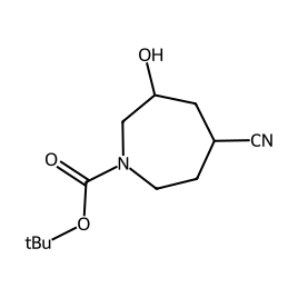 CC(C)(C)OC(=O)N1CCC(C#N)CC(O)C1